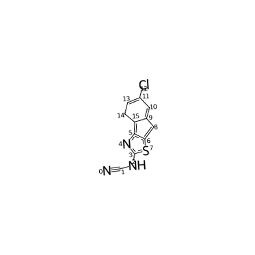 N#CNc1nc2c(s1)=CC1=CC(Cl)=CCC=21